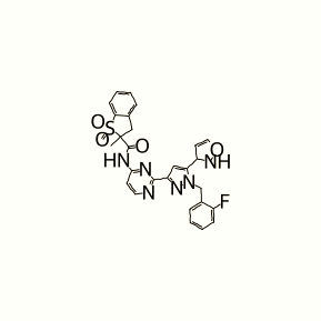 CC1(C(=O)Nc2ccnc(-c3cc(C4C=CON4)n(Cc4ccccc4F)n3)n2)Cc2ccccc2S1(=O)=O